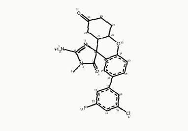 CN1C(=O)C2(N=C1N)c1cc(-c3cc(F)cc(Cl)c3)ccc1OC1CCC(=O)CC12